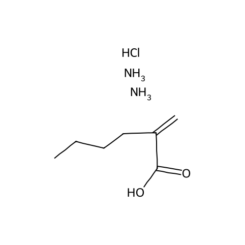 C=C(CCCC)C(=O)O.Cl.N.N